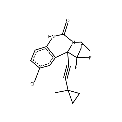 CCN1C(=O)Nc2ccc(Cl)cc2C1(C#CC1(C)CC1)C(F)(F)F